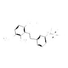 COc1ccc(C(=O)O)c(CCc2cccc(NS(C)(=O)=O)c2)c1OC